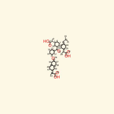 CC(C(=O)O)c1cccc(C(=O)c2ccccc2)c1.CC(C)Cc1ccc(C(C)C(=O)O)cc1.COc1ccc2cc([C@H](C)C(=O)O)ccc2c1